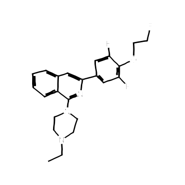 CCN1CCN(c2nc(-c3cc(F)c(OCCF)c(F)c3)cc3ccccc23)CC1